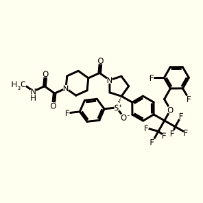 CNC(=O)C(=O)N1CCC(C(=O)N2CC[C@](c3ccc(C(OCc4c(F)cccc4F)(C(F)(F)F)C(F)(F)F)cc3)([S+]([O-])c3ccc(F)cc3)C2)CC1